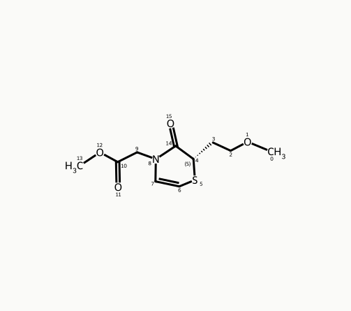 COCC[C@@H]1SC=CN(CC(=O)OC)C1=O